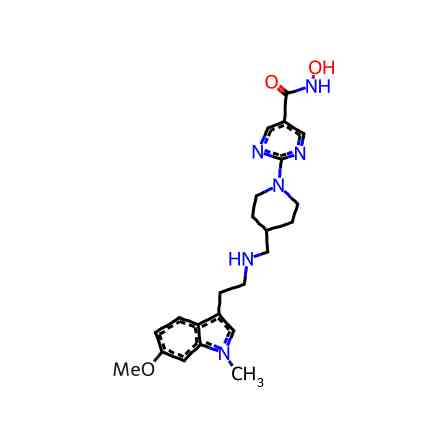 COc1ccc2c(CCNCC3CCN(c4ncc(C(=O)NO)cn4)CC3)cn(C)c2c1